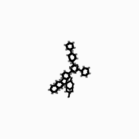 CC1CC2CC(C)C3(c4cc(-c5nc(-c6ccccc6)nc(-c6ccc(-c7ccccc7)cc6)n5)ccc4-c4cc5ccccc5cc43)C(C1)C2